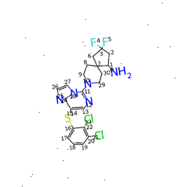 NC1CC(F)(F)CC12CCN(c1ncc(Sc3cccc(Cl)c3Cl)c3nccn13)CC2